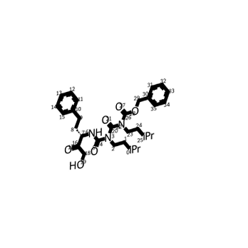 CC(C)CCN(C(=O)N[C@@H](CCc1ccccc1)C(=O)CO)C(=O)N(CCC(C)C)C(=O)OCc1ccccc1